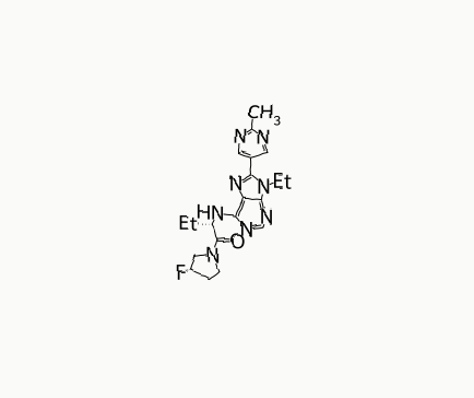 CC[C@H](Nc1ncnc2c1nc(-c1cnc(C)nc1)n2CC)C(=O)N1CC[C@H](F)C1